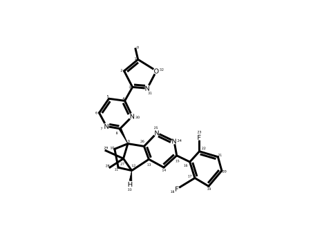 Cc1cc(-c2ccnc([C@@]34CC[C@@H](c5cc(-c6c(F)cccc6F)nnc53)C4(C)C)n2)no1